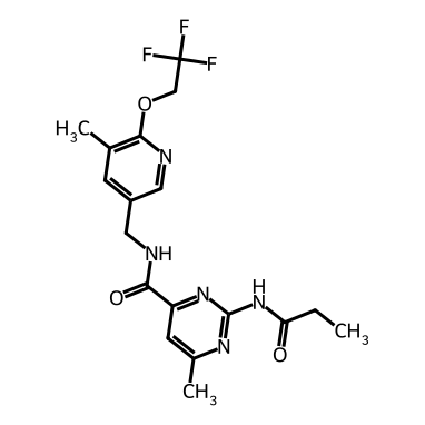 CCC(=O)Nc1nc(C)cc(C(=O)NCc2cnc(OCC(F)(F)F)c(C)c2)n1